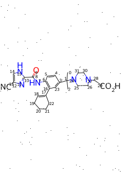 CC(C)(c1ccc(NC(=O)c2nc(C#N)c[nH]2)c(C2=CCCCC2)c1)N1CCN(CC(=O)O)CC1